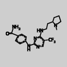 CN1CCCC1CCNc1nc(Nc2ccc(C(N)=O)cc2)ncc1C(F)(F)F